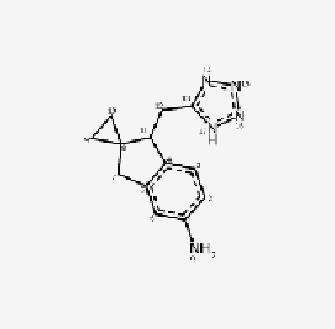 Nc1ccc2c(c1)CC1(CC1)C2Cc1nnn[nH]1